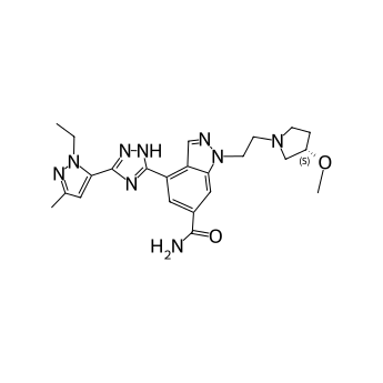 CCn1nc(C)cc1-c1n[nH]c(-c2cc(C(N)=O)cc3c2cnn3CCN2CC[C@H](OC)C2)n1